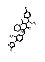 Cc1cn(-c2ccc(/C=C3/C(=O)N(C(C)c4ccc(F)cc4)C(=S)N4CCCCC34C)cc2C)cn1